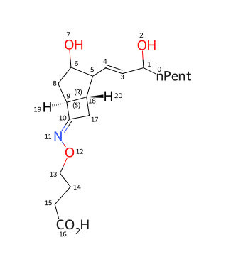 CCCCCC(O)C=CC1C(O)C[C@@H]2C(=NOCCCC(=O)O)C[C@@H]12